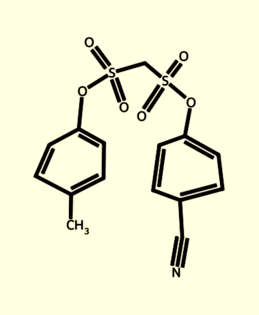 Cc1ccc(OS(=O)(=O)CS(=O)(=O)Oc2ccc(C#N)cc2)cc1